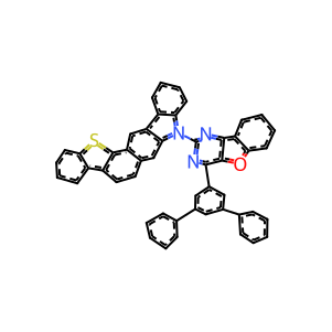 c1ccc(-c2cc(-c3ccccc3)cc(-c3nc(-n4c5ccccc5c5cc6c(ccc7c8ccccc8sc67)cc54)nc4c3oc3ccccc34)c2)cc1